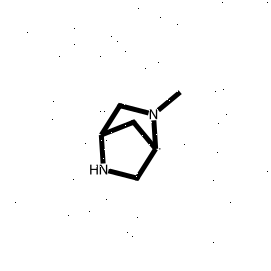 CN1CC2C[C]1CN2